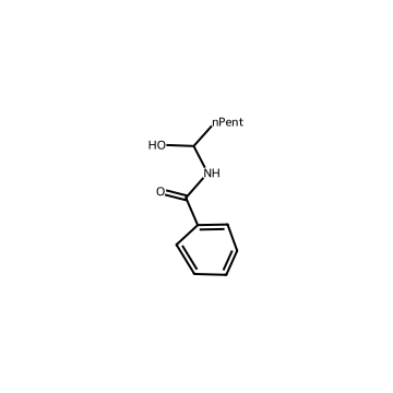 CCCCCC(O)NC(=O)c1ccccc1